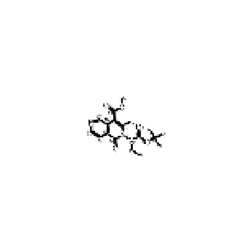 CCN(C(=O)OC(C)(C)C)n1c(C)c(C(=O)OC)c2cnccc2c1=O